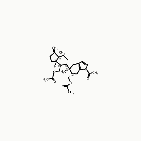 C=C1CC[C@H]2[C@H](COC(C)=O)[C@@H]([C@@]3(C)Cc4cnn(C(C)=O)c4C[C@@H]3COC(C)=O)CC[C@]12C